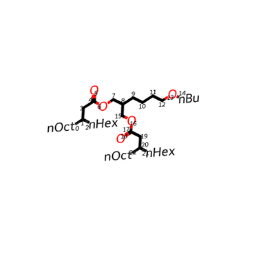 CCCCCCCCC(CCCCCC)CC(=O)OCC(CCCCOCCCC)COC(=O)CC(CCCCCC)CCCCCCCC